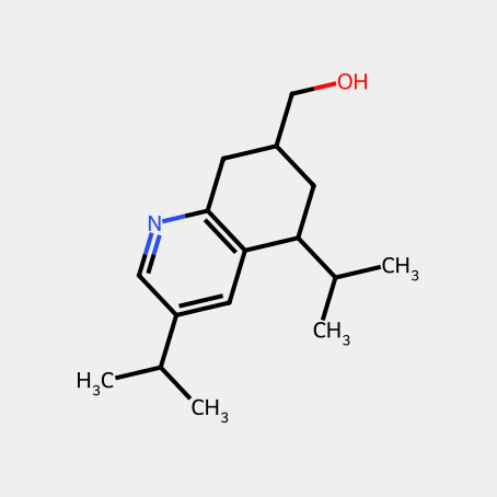 CC(C)c1cnc2c(c1)C(C(C)C)CC(CO)C2